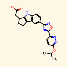 CC(C)Oc1ccc(-c2nc(-c3ccc4[nH]c5c(c4c3)CCC5CC(=O)O)no2)nn1